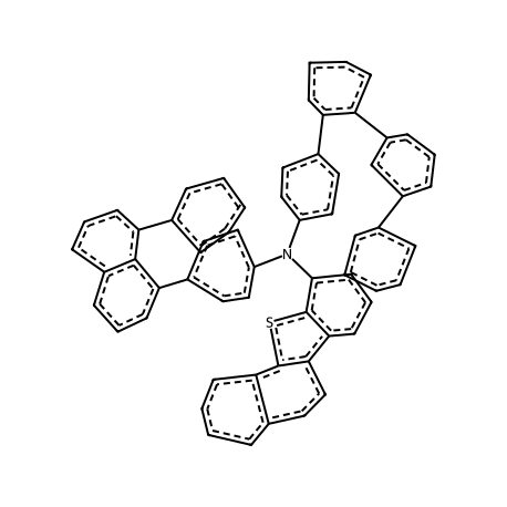 c1ccc(-c2cccc(-c3ccccc3-c3ccc(N(c4ccc(-c5cccc6cccc(-c7ccccc7)c56)cc4)c4cccc5c4sc4c6ccccc6ccc54)cc3)c2)cc1